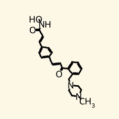 CN1CCN(Cc2ccccc2C(=O)C=Cc2ccc(C=CC(=O)NO)cc2)CC1